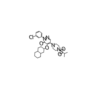 CC(C)S(=O)(=O)N1CCN(c2cnn(-c3cccc(Cl)c3)c(=O)c2OC2CCC3CCCCC3C2)CC1